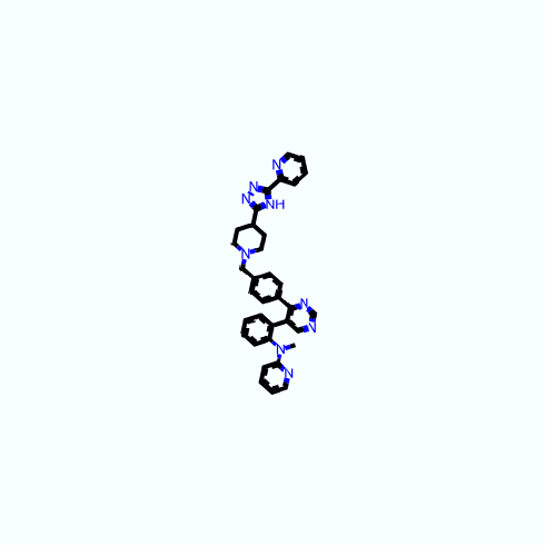 CN(c1ccccn1)c1ccccc1-c1cncnc1-c1ccc(CN2CCC(c3nnc(-c4ccccn4)[nH]3)CC2)cc1